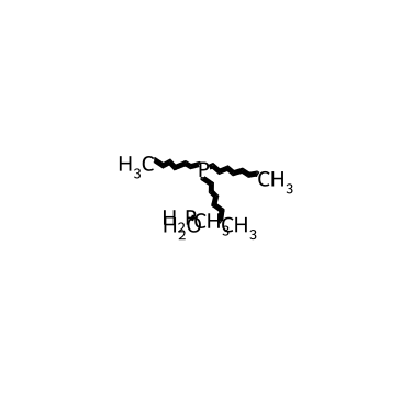 CCCCCCCCP(CCCCCCCC)CCCCCCCC.CP.O